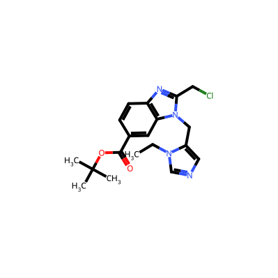 CCn1cncc1Cn1c(CCl)nc2ccc(C(=O)OC(C)(C)C)cc21